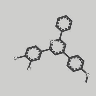 COc1ccc(-c2cc(-c3ccccc3)[o+]c(-c3ccc(Cl)c(Cl)c3)c2)cc1